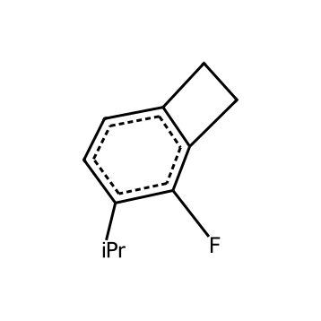 CC(C)c1ccc2c(c1F)CC2